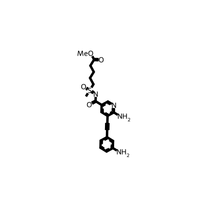 COC(=O)CCCCS(C)(=O)=NC(=O)c1cnc(N)c(C#Cc2cccc(N)c2)c1